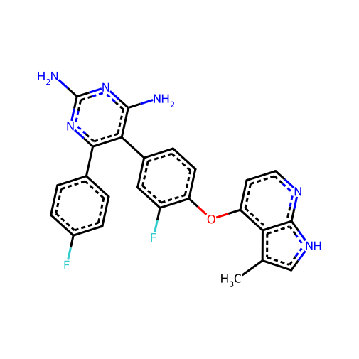 Cc1c[nH]c2nccc(Oc3ccc(-c4c(N)nc(N)nc4-c4ccc(F)cc4)cc3F)c12